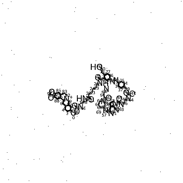 COc1ccc2cc3[n+](cc2c1OC(=O)N(C)CCNC(=O)CCCCCNC(=O)c1cc(/N=N/c2ccc(COC(=O)N(C)CCN(C)C(=O)n4ccc5c(N(C)[C@H]6CN(C(=O)CC#N)CC[C@H]6C)ncnc54)cc2)ccc1CCO)CCc1cc2c(cc1-3)OCO2